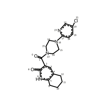 O=C(c1cc2c([nH]c1=O)CCCC2)N1CCN(c2ccc(Cl)cn2)CC1